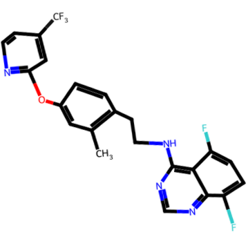 Cc1cc(Oc2cc(C(F)(F)F)ccn2)ccc1CCNc1ncnc2c(F)ccc(F)c12